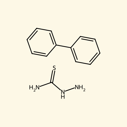 NNC(N)=S.c1ccc(-c2ccccc2)cc1